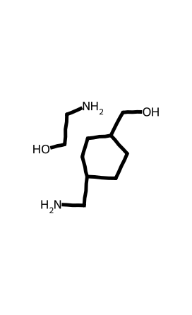 NCC1CCC(CO)CC1.NCCO